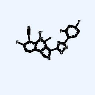 Cc1c2c(-c3nc(-c4ccc(F)cc4F)no3)ncn2c2ccc(F)c(C#N)c2[n+]1[O-]